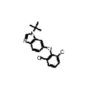 CC(C)(C)n1cnc2ccc(Oc3c(Cl)cccc3Cl)cc21